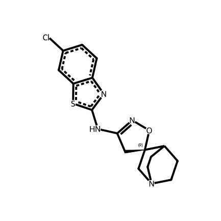 Clc1ccc2nc(NC3=NO[C@@]4(C3)CN3CCC4CC3)sc2c1